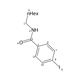 CCCCCCCNC(=O)c1ccc(I)cc1